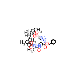 CC(NC(=O)OC(C)(C)C)C(=O)N1C[C@H](CCCB2OC(C)(C)C(C)(C)O2)[C@](N=[N+]=[N-])(C(=O)OCc2ccccc2)C1